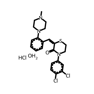 CN1CCN(c2ccccc2/C=C2/SCCN(c3ccc(Cl)c(Cl)c3)C2=O)CC1.Cl.O